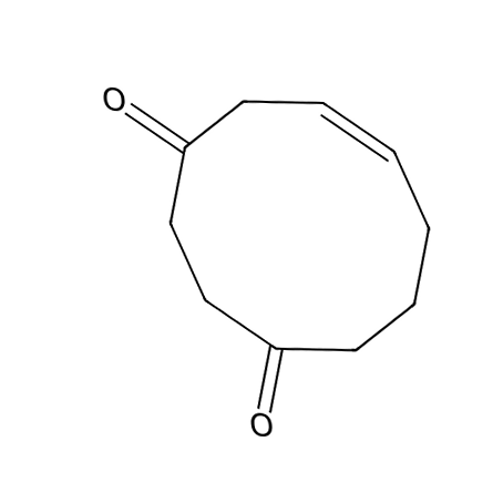 O=C1CC=CCCCC(=O)CC1